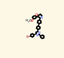 COc1ccc2oc3ccnc(-c4ccc(-c5ccc(-c6cc(-c7ccc(Br)cc7)nc(-c7ccccc7)n6)cc5)cc4)c3c2c1